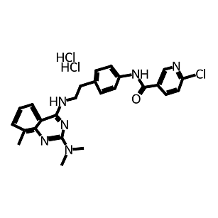 Cc1cccc2c(NCCc3ccc(NC(=O)c4ccc(Cl)nc4)cc3)nc(N(C)C)nc12.Cl.Cl